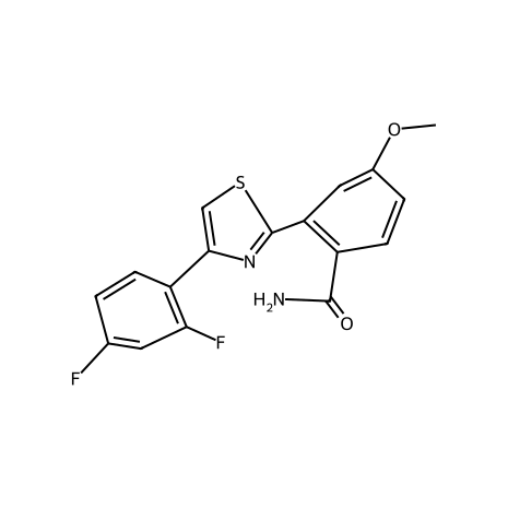 COc1ccc(C(N)=O)c(-c2nc(-c3ccc(F)cc3F)cs2)c1